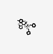 Cc1ccc2c(c1)[C@@H](N1CCCC1=O)[C@H](OP(=O)(OCc1ccccc1)OCc1ccccc1)C(C)(C)O2